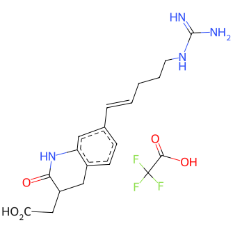 N=C(N)NCCC/C=C/c1ccc2c(c1)NC(=O)C(CC(=O)O)C2.O=C(O)C(F)(F)F